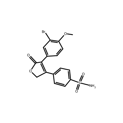 COc1ccc(C2=C(c3ccc(S(N)(=O)=O)cc3)COC2=O)cc1Br